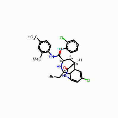 COc1cc(C(=O)O)ccc1NC(=O)[C@@H]1N[C@H](CC(C)(C)C)C2C3=CC(Cl)=CC2[C@@H](C(=O)N3)[C@H]1c1cccc(Cl)c1F